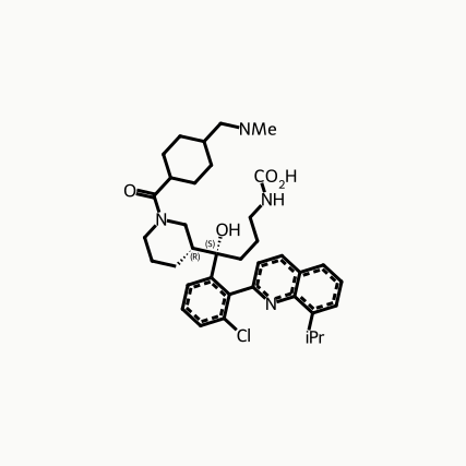 CNCC1CCC(C(=O)N2CCC[C@@H]([C@@](O)(CCCNC(=O)O)c3cccc(Cl)c3-c3ccc4cccc(C(C)C)c4n3)C2)CC1